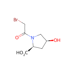 O=C(O)[C@@H]1C[C@H](O)CN1C(=O)CBr